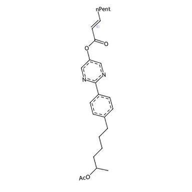 CCCCC/C=C/C(=O)Oc1cnc(-c2ccc(CCCCC(C)OC(C)=O)cc2)nc1